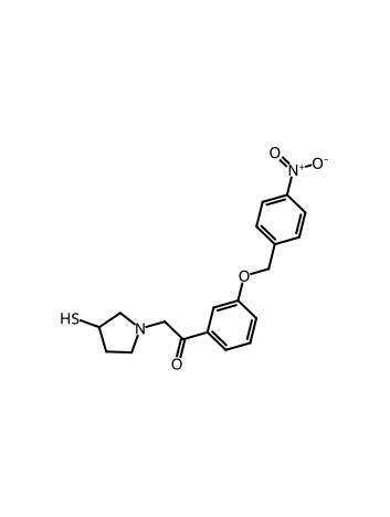 O=C(CN1CCC(S)C1)c1cccc(OCc2ccc([N+](=O)[O-])cc2)c1